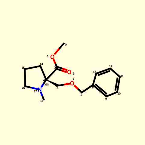 COC(=O)[C@@]1(COCc2ccccc2)CCCN1C